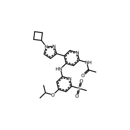 CC(=O)Nc1cc(Nc2cc(OC(C)C)cc(S(C)(=O)=O)n2)c(-c2ccn(C3CCC3)n2)cn1